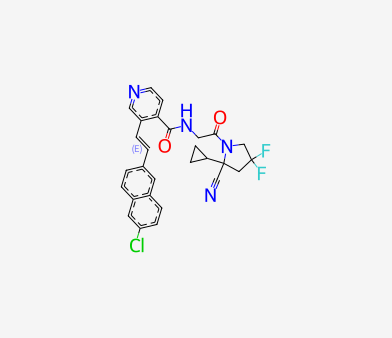 N#CC1(C2CC2)CC(F)(F)CN1C(=O)CNC(=O)c1ccncc1/C=C/c1ccc2cc(Cl)ccc2c1